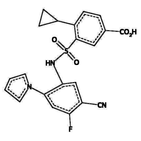 N#Cc1cc(NS(=O)(=O)c2cc(C(=O)O)ccc2C2CC2)c(-n2cccc2)cc1F